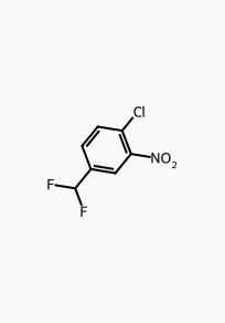 O=[N+]([O-])c1cc(C(F)F)ccc1Cl